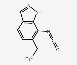 CCc1ccc2cn[nH]c2c1N=C=O